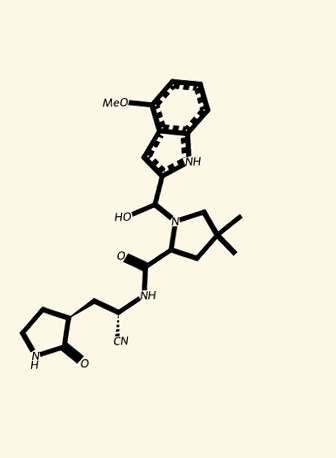 COc1cccc2[nH]c(C(O)N3CC(C)(C)CC3C(=O)N[C@H](C#N)C[C@@H]3CCNC3=O)cc12